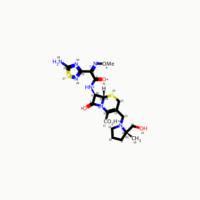 CO/N=C(\C(=O)N[C@@H]1C(=O)N2C(C(=O)O)=C(CN3CCC[C@@]3(C)CO)CS[C@@H]12)c1nsc(N)n1